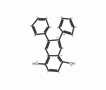 Oc1ccc(O)c2cc(-c3ccccc3)c(-c3ccccc3)cc12